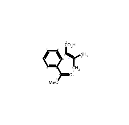 C/C(N)=C/C(=O)O.COC(=O)c1ccccc1